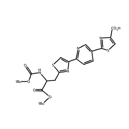 CC(C)(C)OC(=O)NC(Cc1nc(-c2ccc(-c3nc(C(=O)O)cs3)cn2)cs1)C(=O)OC(C)(C)C